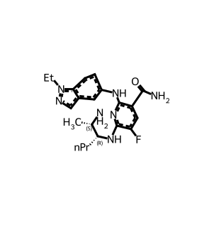 CCC[C@@H](Nc1nc(Nc2ccc3c(cnn3CC)c2)c(C(N)=O)cc1F)[C@H](C)N